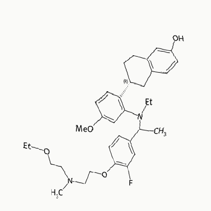 CCOCCN(C)CCOc1ccc(C(C)N(CC)c2cc(OC)ccc2[C@@H]2CCc3cc(O)ccc3C2)cc1F